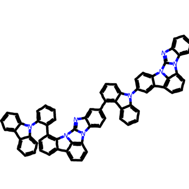 c1ccc(-n2c3ccccc3c3ccccc32)c(-c2cccc3c4cccc5c4n(c23)c2nc3cc(-c4cccc6c4c4ccccc4n6-c4ccc6c(c4)c4cccc7c4n6c4nc6ccccc6n74)ccc3n52)c1